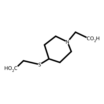 O=C(O)CSC1CCN(CC(=O)O)CC1